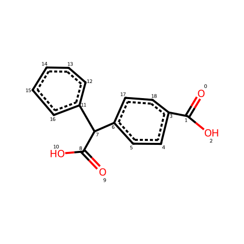 O=C(O)c1ccc(C(C(=O)O)c2ccccc2)cc1